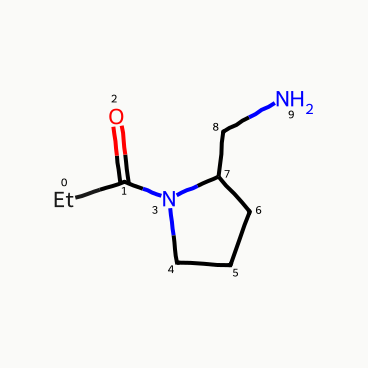 [CH2]CC(=O)N1CCCC1CN